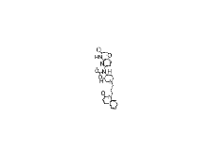 O=C1COc2ccc(N3C(=O)O[C@H]4CN(CCCn5c(=O)ccc6ccccc65)CC[C@H]43)nc2N1